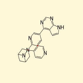 c1cc(CN2C3CC2CN(c2ccc(-c4ncnc5[nH]ccc45)cn2)C3)ccn1